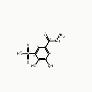 NNC(=O)c1cc(O)c(O)c(S(=O)(=O)O)c1